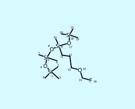 C[Si](C)(C)O[Si](C)(C)O[Si](C)(CCCOCF)O[Si](C)(C)C